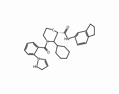 O=C(Nc1ccc2c(c1)CCC2)[C@H]1CCCN(C(=O)c2ccccc2N2C=CCN2)C1C1CCCCC1